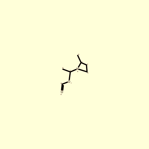 CC1CCN1C(C)OC=O